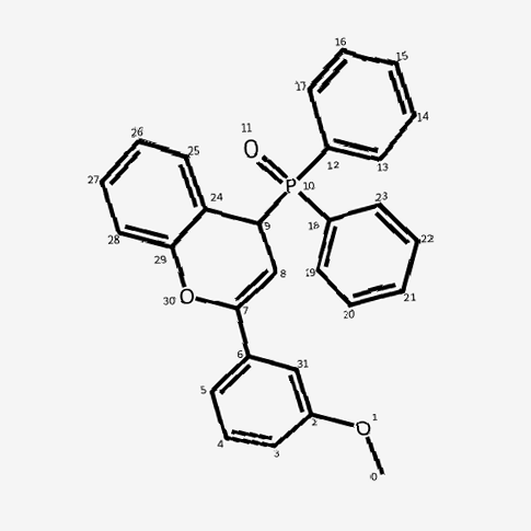 COc1cccc(C2=CC(P(=O)(c3ccccc3)c3ccccc3)c3ccccc3O2)c1